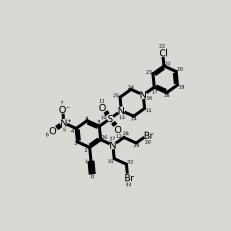 C#Cc1cc([N+](=O)[O-])cc(S(=O)(=O)N2CCN(c3cccc(Cl)c3)CC2)c1N(CCBr)CCBr